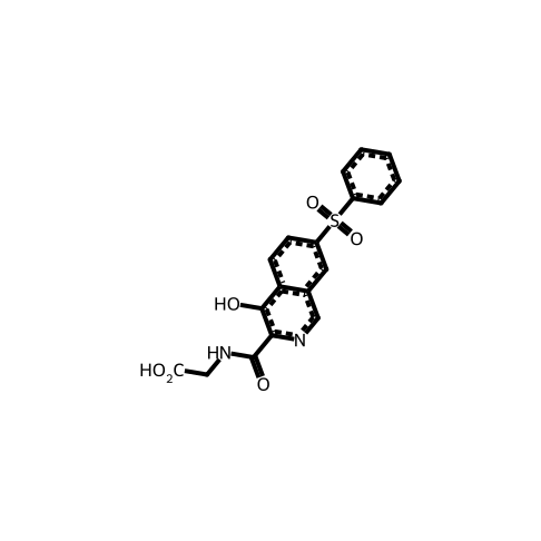 O=C(O)CNC(=O)c1ncc2cc(S(=O)(=O)c3ccccc3)ccc2c1O